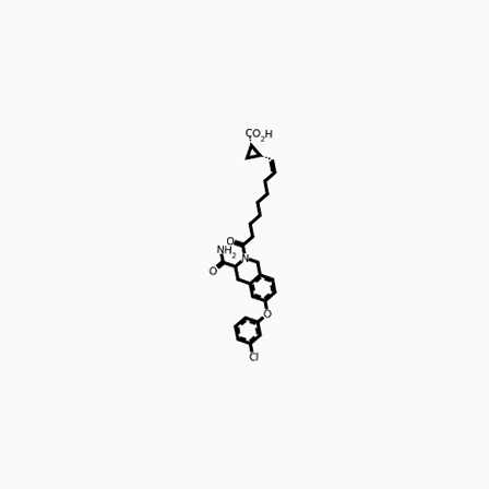 NC(=O)C1Cc2cc(Oc3cccc(Cl)c3)ccc2CN1C(=O)CCCCCC/C=C\[C@@H]1C[C@@H]1C(=O)O